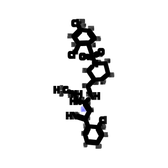 CNN/C(=C\C(=N)c1ccccc1Cl)NCC1CCCN(S(=O)(=O)c2ccc(Cl)cc2Cl)C1